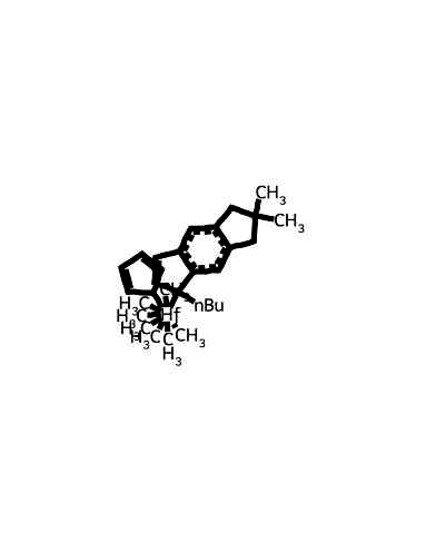 CCCC[C]1([Hf]([CH3])([CH3])([CH3])([CH3])([CH3])([CH3])([CH3])[CH]2C=CC=C2)C=Cc2cc3c(cc21)CC(C)(C)C3